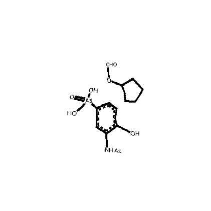 CC(=O)Nc1cc([As](=O)(O)O)ccc1O.O=COC1CCCC1